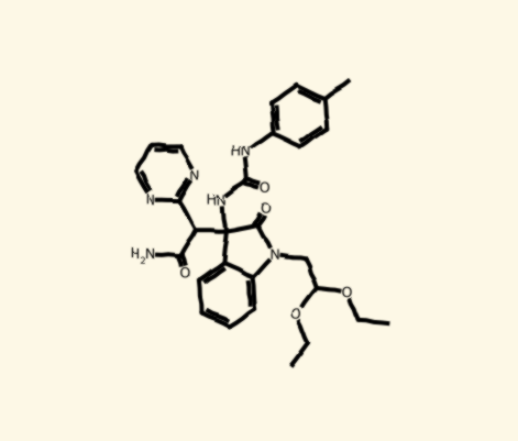 CCOC(CN1C(=O)C(NC(=O)Nc2ccc(C)cc2)(C(C(N)=O)c2ncccn2)c2ccccc21)OCC